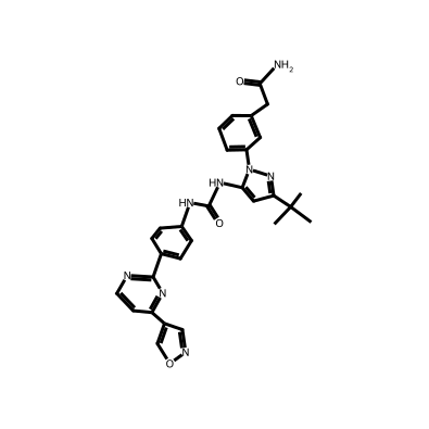 CC(C)(C)c1cc(NC(=O)Nc2ccc(-c3nccc(-c4cnoc4)n3)cc2)n(-c2cccc(CC(N)=O)c2)n1